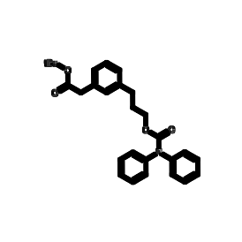 CC(C)(C)OC(=O)Cc1cccc(CCCOC(=O)N(c2ccccc2)c2ccccc2)c1